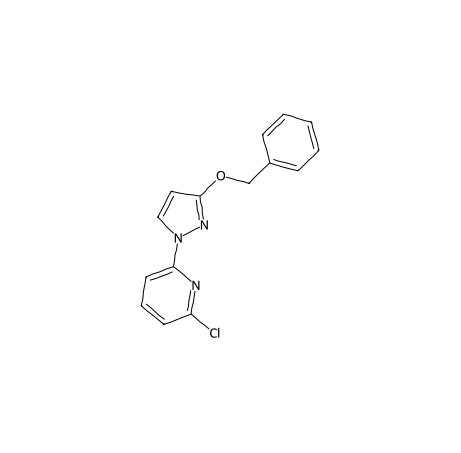 Clc1cccc(-n2ccc(OCc3ccccc3)n2)n1